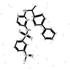 CC(Nc1nccc(NS(=O)(=O)c2cccc([N+](=O)[O-])c2)n1)c1ccc(-c2ccccc2)cc1